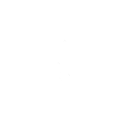 c1cc(-c2ccc(OC3C4CC5CC3CN(C5)C4)nc2)ccn1